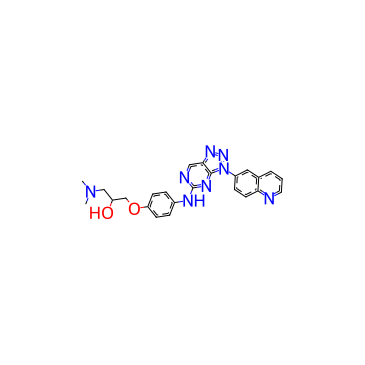 CN(C)CC(O)COc1ccc(Nc2ncc3nnn(-c4ccc5ncccc5c4)c3n2)cc1